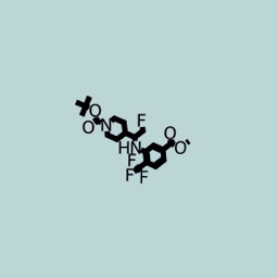 COC(=O)c1ccc(C(F)(F)F)c(NC(CF)C2CCN(C(=O)OC(C)(C)C)CC2)c1